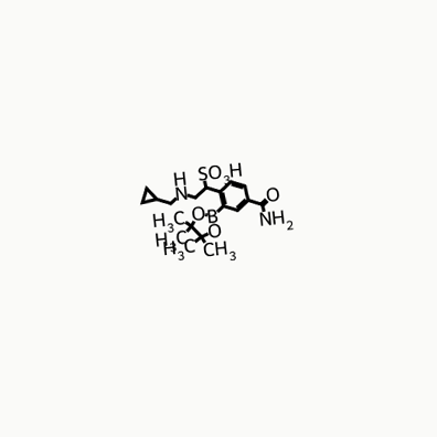 CC1(C)OB(c2cc(C(N)=O)ccc2C(CNCC2CC2)S(=O)(=O)O)OC1(C)C